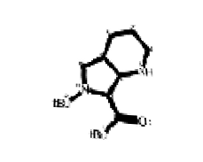 CC(C)(C)C(=O)C1C2NCCCC2CN1C(C)(C)C